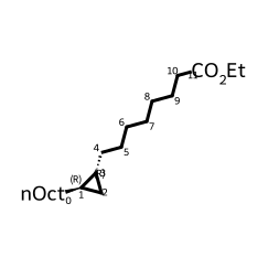 CCCCCCCC[C@@H]1C[C@H]1CCCCCCCC(=O)OCC